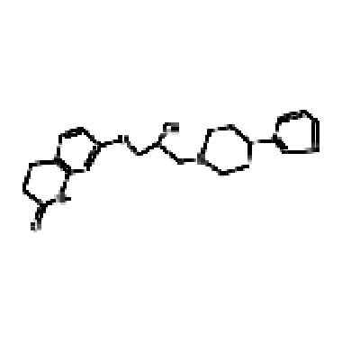 O=C1CCc2ccc(OCC(O)CN3CCC(c4ccccc4)CC3)cc2N1